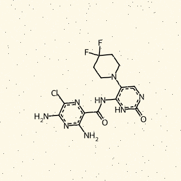 Nc1nc(N)c(C(=O)Nc2[nH]c(=O)ncc2N2CCC(F)(F)CC2)nc1Cl